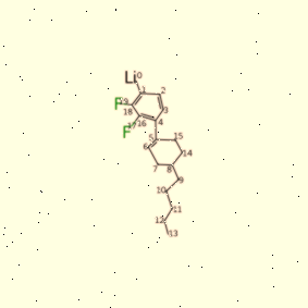 [Li][c]1ccc(C2=CCC(CCCCC)CC2)c(F)c1F